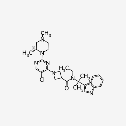 CCN(C(=O)C1CN(c2nc(N3CCN(C)C[C@@H]3C)ncc2Cl)C1)C(C)(C)c1cnc2ccccn12